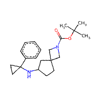 CC(C)(C)OC(=O)N1CC2(CCC(NC3(c4ccccc4)CC3)C2)C1